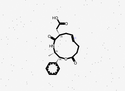 C[C@@H]1NC(=O)[C@H](CC(=O)O)C/C=C/CCC(=O)O[C@@H]1c1ccccc1